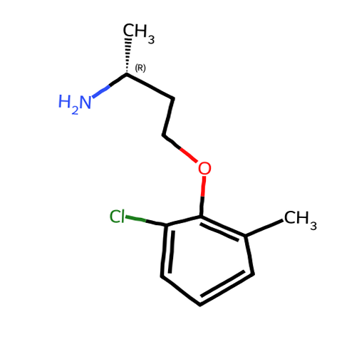 Cc1cccc(Cl)c1OCC[C@@H](C)N